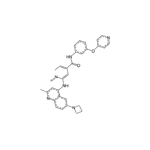 C=N/C(=C\C(=C/C)C(=O)Nc1cccc(Oc2ccncc2)c1)Nc1cc(C)nc2ccc(N3CCC3)cc12